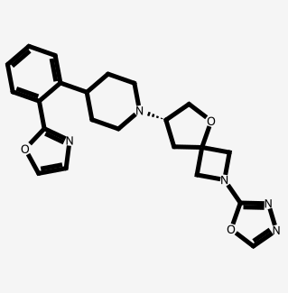 c1ccc(C2CCN([C@@H]3COC4(C3)CN(c3nnco3)C4)CC2)c(-c2ncco2)c1